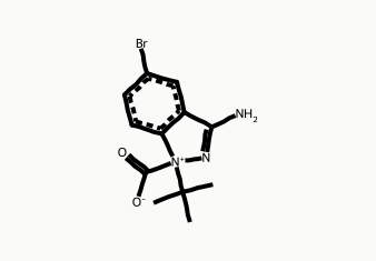 CC(C)(C)[N+]1(C(=O)[O-])N=C(N)c2cc(Br)ccc21